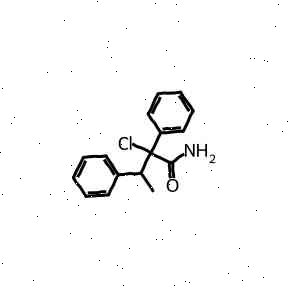 CC(c1ccccc1)C(Cl)(C(N)=O)c1ccccc1